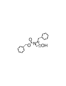 O=C(OCc1ccccc1)N1C[C@H](O)[C@@H]1Cc1ccccc1